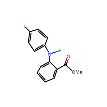 COC(=O)c1ccccc1N(F)c1ccc(I)cc1